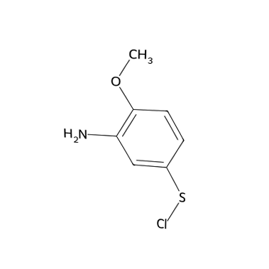 COc1ccc(SCl)cc1N